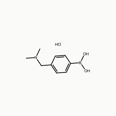 CN(C)Cc1ccc(B(O)O)cc1.Cl